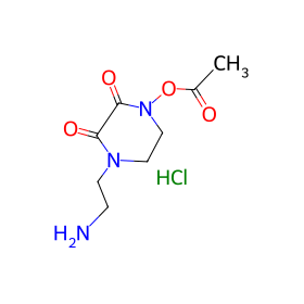 CC(=O)ON1CCN(CCN)C(=O)C1=O.Cl